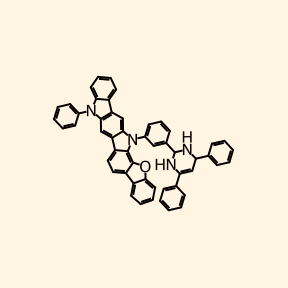 C1=C(c2ccccc2)NC(c2cccc(-n3c4cc5c6ccccc6n(-c6ccccc6)c5cc4c4ccc5c6ccccc6oc5c43)c2)NC1c1ccccc1